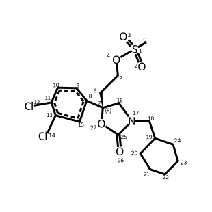 CS(=O)(=O)OCC[C@@]1(c2ccc(Cl)c(Cl)c2)CN(CC2CCCCC2)C(=O)O1